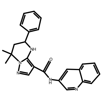 CC1(C)CC(c2ccccc2)Nc2c(C(=O)Nc3cnc4ccccc4c3)cnn21